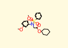 COc1ccc(OC)c(N(CC(=O)OC2CCCCC2)S(=O)(=O)c2ccccc2)c1